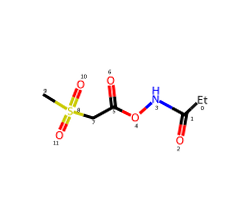 CCC(=O)NOC(=O)CS(C)(=O)=O